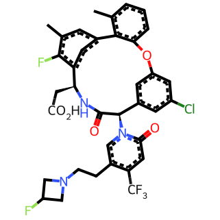 Cc1cc2cc(c1F)[C@H](CC(=O)O)NC(=O)[C@H](n1cc(CCN3CC(F)C3)c(C(F)(F)F)cc1=O)c1cc(Cl)cc(c1)Oc1cccc(C)c1-2